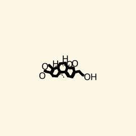 C[C@]12CCC3=C(COC3=O)[C@@H]1C[C@@H]1O[C@@]13C(=O)C(CCO)=CC=C32